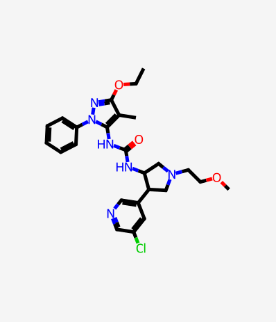 CCOc1nn(-c2ccccc2)c(NC(=O)NC2CN(CCOC)CC2c2cncc(Cl)c2)c1C